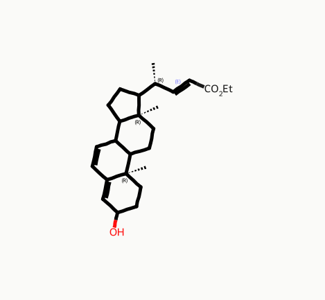 CCOC(=O)/C=C/[C@@H](C)C1CCC2C3C=CC4=CC(O)CC[C@]4(C)C3CC[C@@]21C